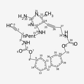 C#CCCNC(=O)OCc1ccccc1.CCCCCNc1nc(N)nc(C)c1C#CCCNC(=O)OCc1ccccc1